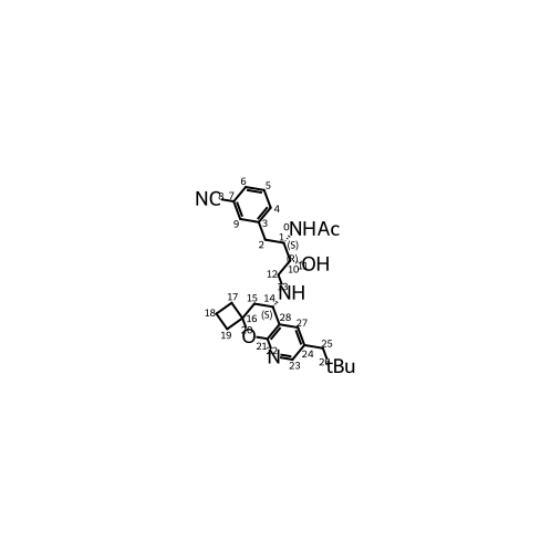 CC(=O)N[C@@H](Cc1cccc(C#N)c1)[C@H](O)CN[C@H]1CC2(CCC2)Oc2ncc(CC(C)(C)C)cc21